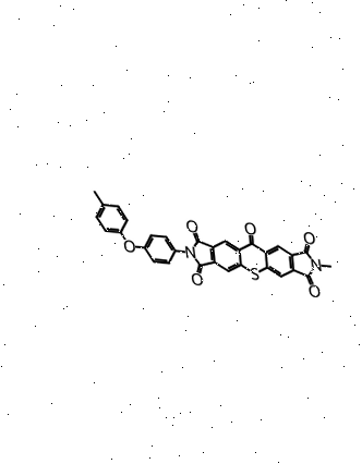 Cc1ccc(Oc2ccc(-n3c(=O)c4cc5sc6cc7c(=O)n(C)c(=O)c7cc6c(=O)c5cc4c3=O)cc2)cc1